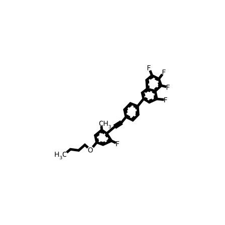 CCCCOc1cc(C)c(C#Cc2ccc(-c3cc(F)c4c(F)c(F)c(F)cc4c3)cc2)c(F)c1